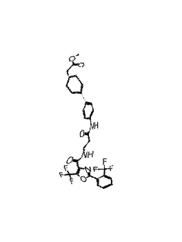 COC(=O)C[C@H]1CC[C@H](c2ccc(NC(=O)CCNC(=O)c3nc(-c4ccccc4C(F)(F)F)oc3C(F)(F)F)cc2)CC1